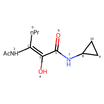 CCC/C(NC(C)=O)=C(/O)C(=O)NC1CC1